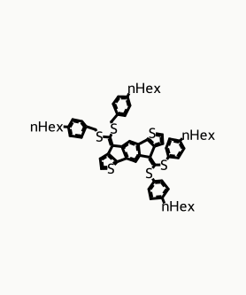 CCCCCCc1ccc(CSC(SCc2ccc(CCCCCC)cc2)=C2c3cc4c(cc3-c3sccc32)C(=C(Sc2ccc(CCCCCC)cc2)Sc2ccc(CCCCCC)cc2)c2ccsc2-4)cc1